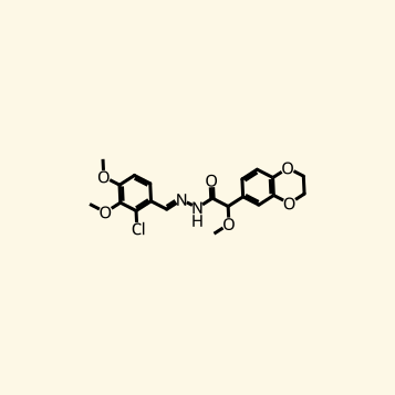 COc1ccc(/C=N/NC(=O)C(OC)c2ccc3c(c2)OCCO3)c(Cl)c1OC